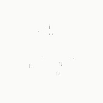 CS(=O)(=O)c1ccc(-c2cc3nccc(-c4ccnc(N5CC6OCC65)c4)c3o2)cc1